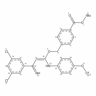 CC(C)(C)OC(=O)c1ccc(CO/C(=C/C(=N)c2cc(Cl)cc(Cl)c2)Nc2ccc(OC(F)(F)F)cc2)cc1